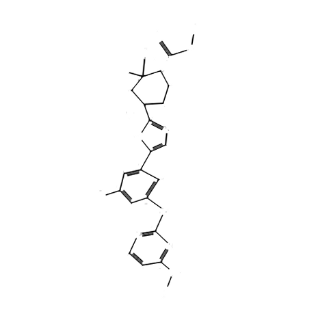 COC(=O)[C@@H]1CC[C@@](O)(c2ncc(-c3cc(C)cc(Nc4nccc(OC)n4)c3)s2)CC1(C)C